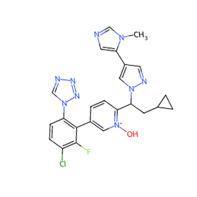 Cn1cncc1-c1cnn(C(CC2CC2)c2ccc(-c3c(-n4cnnn4)ccc(Cl)c3F)c[n+]2O)c1